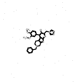 COc1ccc(-c2c(Cl)c(Cn3cnnc3)nc3sc4c(c23)CCN(Cc2ccccc2)C4)cc1OC